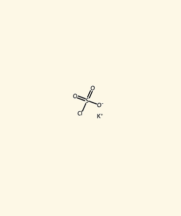 O=S(=O)([O-])Cl.[K+]